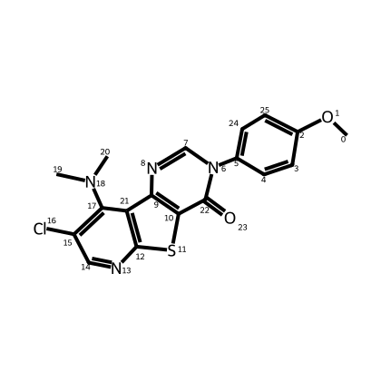 COc1ccc(-n2cnc3c(sc4ncc(Cl)c(N(C)C)c43)c2=O)cc1